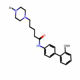 COc1ccccc1-c1ccc(NC(=O)CCCCN2CCN(C(C)=O)CC2)cc1